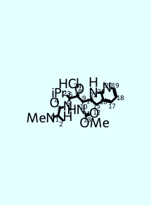 CNC(C)C(=O)NC(C(=O)[C@@H](NC(=O)OC)C1Cc2cccnc2N1)C(C)C.Cl